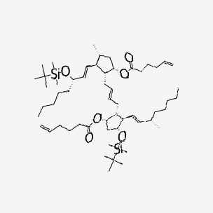 C=CCCCC(=O)O[C@H]1C[C@@H](C)[C@H](/C=C/[C@H](CCCCC)O[Si](C)(C)C(C)(C)C)[C@H]1C/C=C/C[C@@H]1[C@@H](/C=C/[C@@H](C)CCCCC)[C@H](O[Si](C)(C)C(C)(C)C)C[C@@H]1OC(=O)CCCC=C